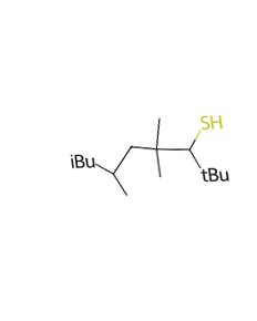 CCC(C)C(C)CC(C)(C)C(S)C(C)(C)C